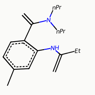 C=C(CC)Nc1cc(C)ccc1C(=C)N(CCC)CCC